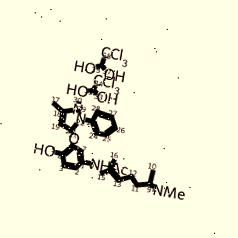 CC(=O)Nc1ccc(O)cc1.CNC(C)CCC=C(C)C.Cc1cc(=O)n(-c2ccccc2)n1C.OC(O)C(Cl)(Cl)Cl.OC(O)C(Cl)(Cl)Cl